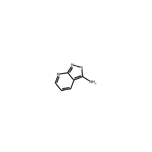 Nc1snc2ncccc12